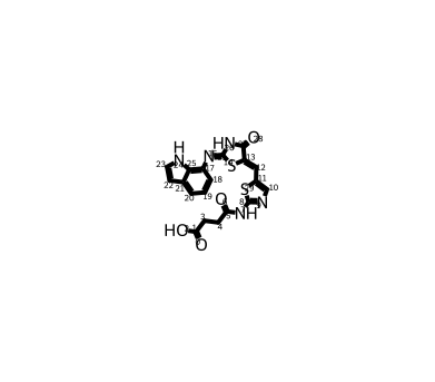 O=C(O)CCC(=O)Nc1ncc(C=C2SC(=Nc3cccc4cc[nH]c34)NC2=O)s1